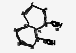 Oc1c[c]cc2cccc(O)c12